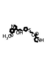 COc1ccc2nccc([C@H](O)CC[C@@H]3CC[C@H](SCCOC(=O)C4CCCNC4)C3)c2c1